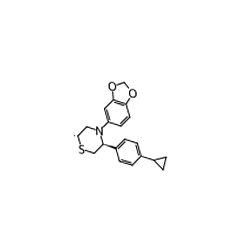 [CH]1CN(c2ccc3c(c2)OCO3)[C@@H](c2ccc(C3CC3)cc2)CS1